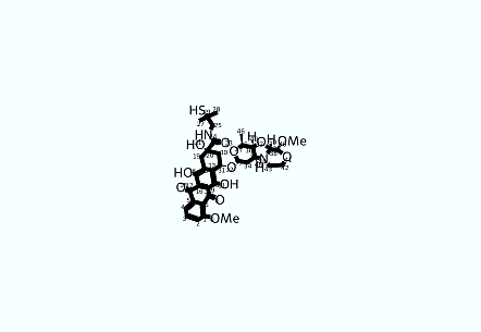 COc1cccc2c1C(=O)c1c(O)c3c(c(O)c1C2=O)C[C@@](O)(C(=O)NCC(C)(C)S)C[C@@H]3O[C@H]1C[C@H]2[C@H](O[C@@H]3[C@@H](OC)OCCN32)[C@H](C)O1